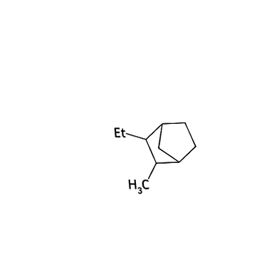 CCC1C2CCC(C2)C1C